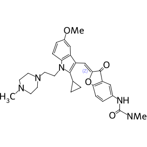 CNC(=O)Nc1ccc2c(c1)C(=O)/C(=C/c1c(C3CC3)n(CCN3CCN(C)CC3)c3ccc(OC)cc13)O2